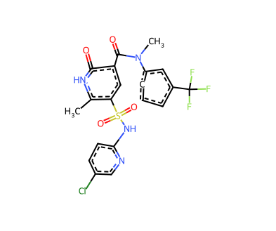 Cc1[nH]c(=O)c(C(=O)N(C)c2cccc(C(F)(F)F)c2)cc1S(=O)(=O)Nc1ccc(Cl)cn1